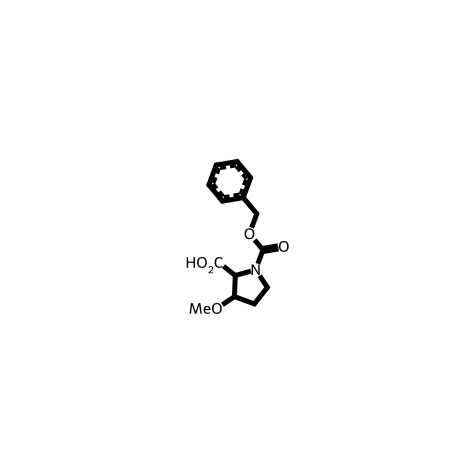 COC1CCN(C(=O)OCc2ccccc2)C1C(=O)O